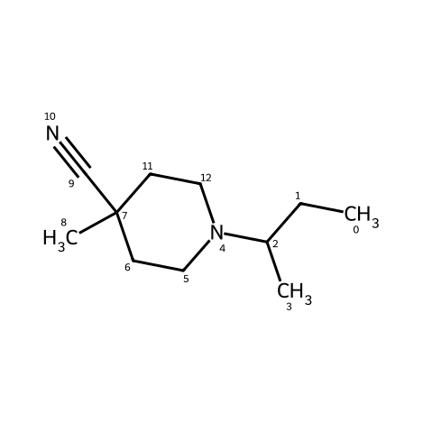 CCC(C)N1CCC(C)(C#N)CC1